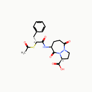 CC(=O)S[C@H](Cc1ccccc1)C(=O)NC1CCC(=O)N2CC[C@@H](C(=O)O)N2C1=O